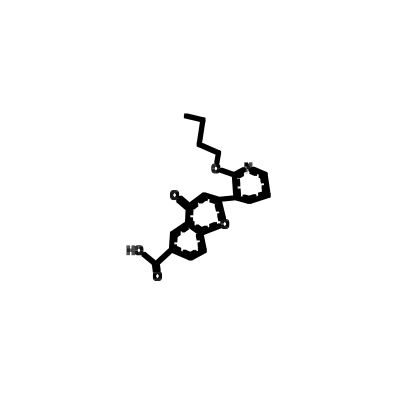 CCCCOc1ncccc1-c1cc(=O)c2cc(C(=O)O)ccc2o1